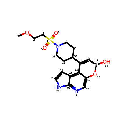 COCCS(=O)(=O)N1CCC(C2=CB(O)Oc3cnc4[nH]ccc4c32)CC1